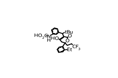 CCc1ccccc1C1(CCC(F)(F)F)CC(O)=C(C(c2cccc(NC(=O)O)c2)C(C)(C)C)C(=O)O1